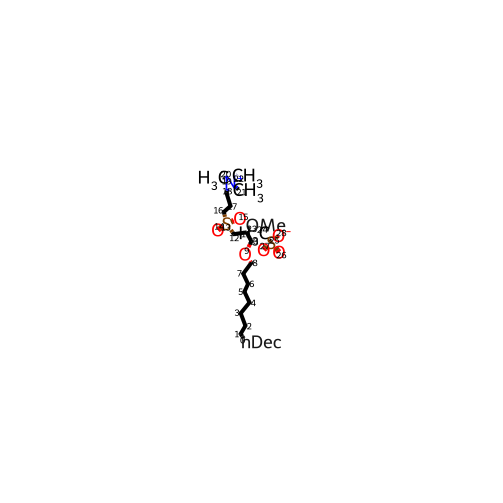 CCCCCCCCCCCCCCCCCCOCC(CS(=O)(=O)CCC[N+](C)(C)C)OC.CS(=O)(=O)[O-]